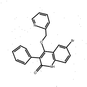 O=c1[nH]c2ccc(Br)cc2c(OCc2ccccn2)c1-c1ccccc1